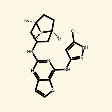 CC(=O)N1[C@@H]2CC[C@H]1CC(Nc1nc(Nc3cc(C)[nH]n3)c3sccc3n1)C2